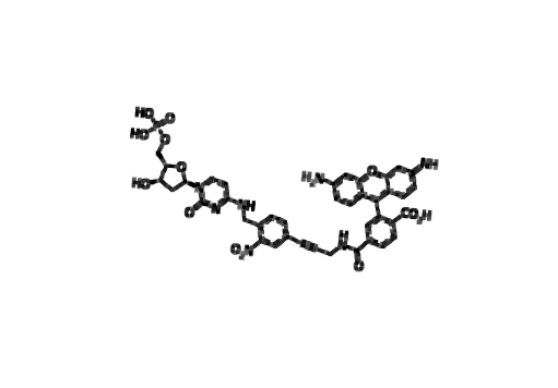 N=c1ccc2c(-c3cc(C(=O)NCC#Cc4ccc(CNc5ccn([C@H]6C[C@@H](O)[C@@H](COP(=O)(O)O)O6)c(=O)n5)c([N+](=O)[O-])c4)ccc3C(=O)O)c3ccc(N)cc3oc-2c1